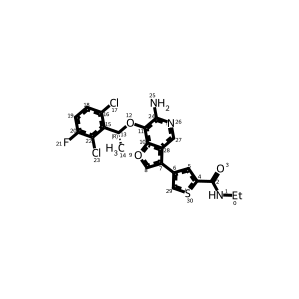 CCNC(=O)c1cc(-c2coc3c(O[C@H](C)c4c(Cl)ccc(F)c4Cl)c(N)ncc23)cs1